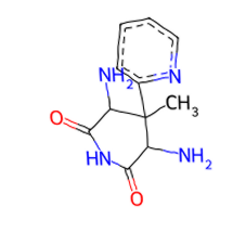 CC1(c2ccccn2)C(N)C(=O)NC(=O)C1N